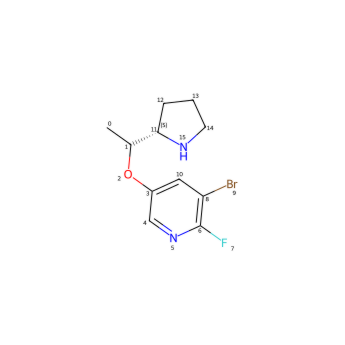 CC(Oc1cnc(F)c(Br)c1)[C@@H]1CCCN1